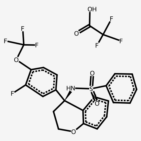 O=C(O)C(F)(F)F.O=S(=O)(N[C@]1(c2ccc(OC(F)(F)F)c(F)c2)CCOc2cccnc21)c1ccccc1